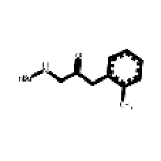 CCCCNCC(=O)Cc1ccccc1C